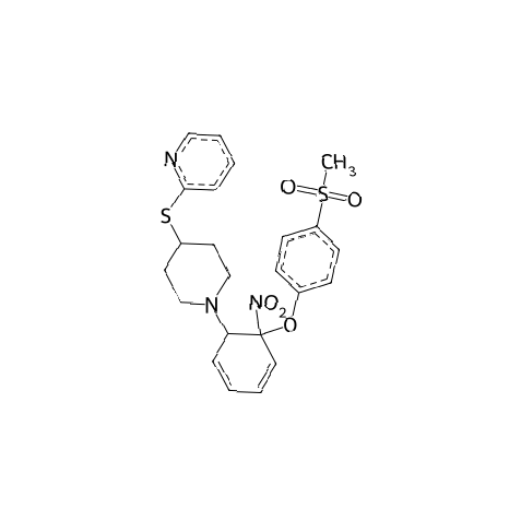 CS(=O)(=O)c1ccc(OC2([N+](=O)[O-])C=CC=CC2N2CCC(Sc3ccccn3)CC2)cc1